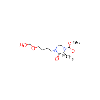 C[C@H]1C(=O)N(CCCCOCO)CCN1C(=O)OC(C)(C)C